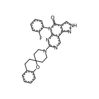 O=c1c2c[nH]nc2c2cnc(N3CCC4(CCc5ccccc5O4)CC3)nc2n1-c1ccccc1F